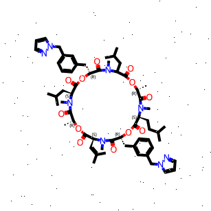 CC(C)=C[C@H]1C(=O)O[C@H](C)C(=O)N(C)[C@@H](CC(C)C)C(=O)O[C@H](Cc2cccc(Cn3cccn3)c2)C(=O)N(C)C(CC(C)C)C(=O)O[C@H](C)C(=O)N(C)[C@@H](CCC(C)C)C(=O)O[C@H](Cc2cccc(Cn3cccn3)c2)C(=O)N1C